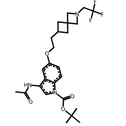 CC(=O)Nc1cn(C(=O)OC(C)(C)C)c2ccc(OCCC3CC4(C3)CN(CC(F)(F)F)C4)cc12